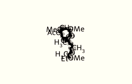 CCC(OC)C(C)C1OC1CC(C)/C=C/C=C(\C)C1OC(=O)CC(OC)CCC(C)(OC)C(OC(C)=O)/C=C/C1C